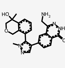 Cn1ncc(-c2ccc3c(=O)[nH]nc(CN)c3c2)c1-c1cccc2c1COCC2(C)O